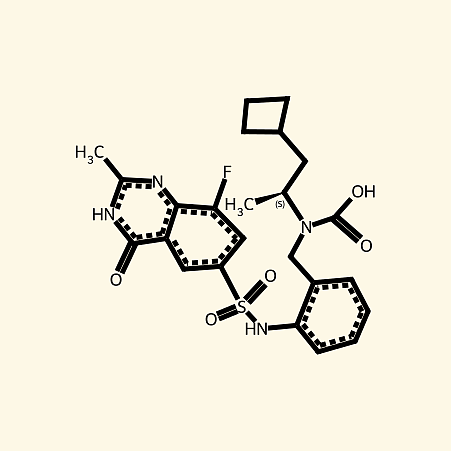 Cc1nc2c(F)cc(S(=O)(=O)Nc3ccccc3CN(C(=O)O)[C@@H](C)CC3CCC3)cc2c(=O)[nH]1